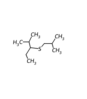 CCC(SCC(C)C)C(C)C